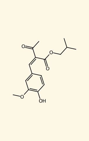 COc1cc(C=C(C(C)=O)C(=O)OCC(C)C)ccc1O